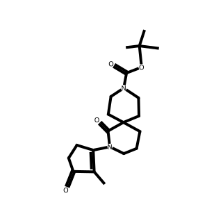 CC1=C(N2CCCC3(CCN(C(=O)OC(C)(C)C)CC3)C2=O)CCC1=O